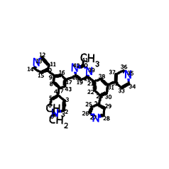 C=N/C=C\C(=C/C)c1cc(-c2ccncc2)cc(-c2cc(-c3cc(-c4ccncc4)cc(-c4ccncc4)c3)nc(C)n2)c1